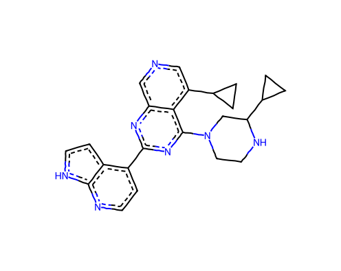 c1cc(-c2nc(N3CCNC(C4CC4)C3)c3c(C4CC4)cncc3n2)c2cc[nH]c2n1